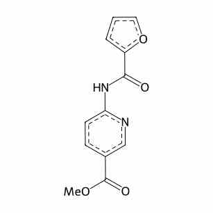 COC(=O)c1ccc(NC(=O)c2ccco2)nc1